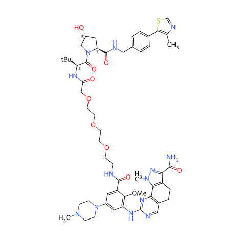 COc1c(Nc2ncc3c(n2)-c2c(c(C(N)=O)nn2C)CC3)cc(N2CCN(C)CC2)cc1C(=O)NCCOCCOCCOCC(=O)N[C@H](C(=O)N1C[C@H](O)C[C@H]1C(=O)NCc1ccc(-c2scnc2C)cc1)C(C)(C)C